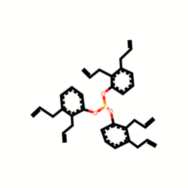 C=CCc1cccc(OP(Oc2cccc(CC=C)c2CC=C)Oc2cccc(CC=C)c2CC=C)c1CC=C